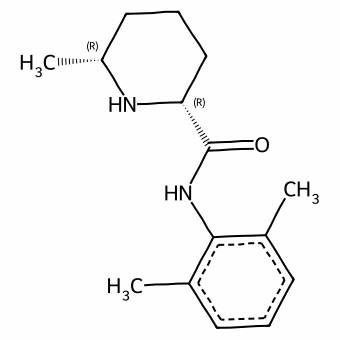 Cc1cccc(C)c1NC(=O)[C@H]1CCC[C@@H](C)N1